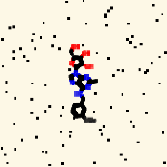 COc1cccc(CNc2nc(C)nc3c2ncn3C2O[C@H](CO)[C@@H](O)[C@H]2O)c1